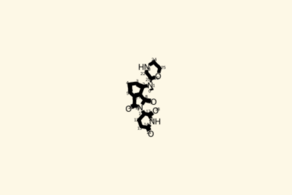 CN(c1cccc2c1C(=O)N(C1CCC(=O)NC1=O)C2=O)[C@H]1CNCCO1